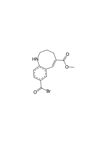 COC(=O)C1=Cc2cc(C(=O)Br)ccc2NCCC1